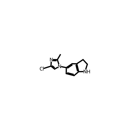 Cc1nc(Cl)cn1-c1ccc2c(c1)CCN2